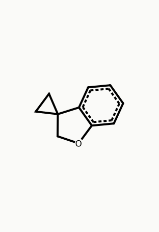 c1ccc2c(c1)OCC21CC1